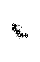 Cc1nn(-c2nccs2)cc1-c1ccc(-c2cc(C(N)=O)ccn2)cc1F